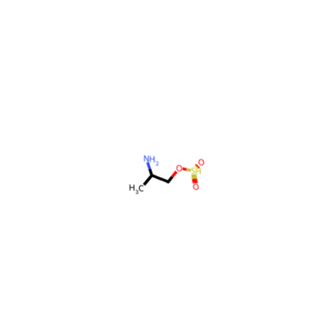 CC(N)CO[SH](=O)=O